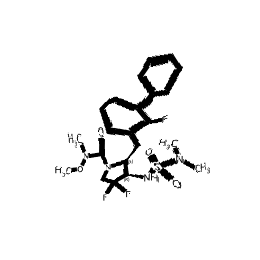 CON(C)C(=O)N1CC(F)(F)[C@H](NS(=O)(=O)N(C)C)[C@@H]1Cc1cccc(-c2ccccc2)c1F